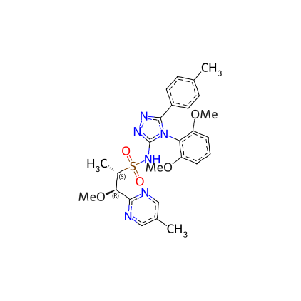 COc1cccc(OC)c1-n1c(NS(=O)(=O)[C@@H](C)[C@H](OC)c2ncc(C)cn2)nnc1-c1ccc(C)cc1